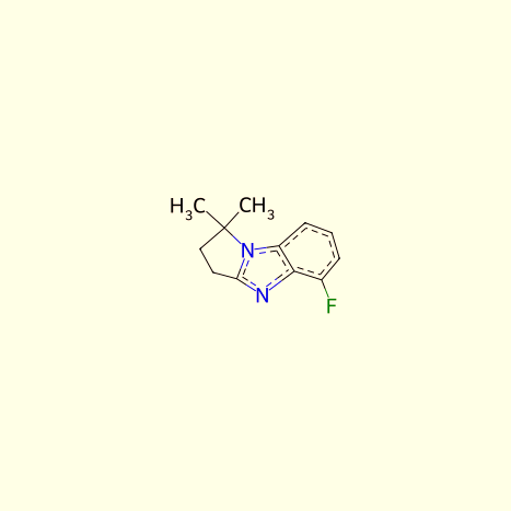 CC1(C)CCc2nc3c(F)cccc3n21